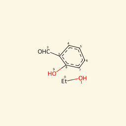 CCO.O=Cc1ccccc1O